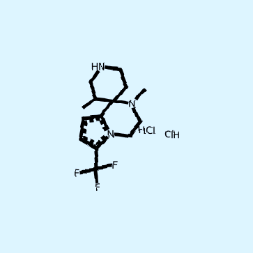 CC1CNCCC12c1ccc(C(F)(F)F)n1CCN2C.Cl.Cl